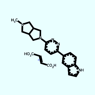 CN1CC2CN(c3ccc(-c4ccc5[nH]ccc5c4)nn3)CC2C1.O=C(O)/C=C/C(=O)O